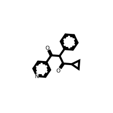 O=C(c1ccncc1)C(C(=O)C1CC1)c1ccccc1